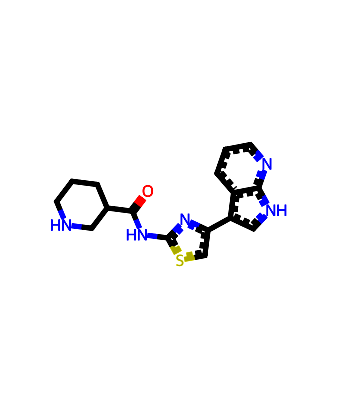 O=C(Nc1nc(-c2c[nH]c3ncccc23)cs1)C1CCCNC1